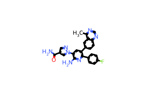 Cc1ncnc2ccc(-c3cc(-n4cc(C(N)=O)cn4)c(N)nc3-c3ccc(F)cc3)cc12